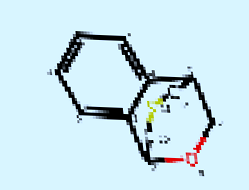 c1ccc2c(c1)C1COC2CSC1